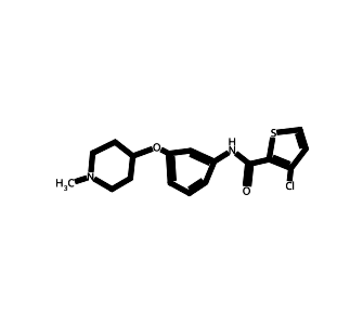 CN1CCC(Oc2cccc(NC(=O)c3sccc3Cl)c2)CC1